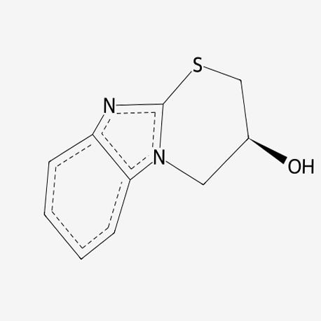 O[C@@H]1CSc2nc3ccccc3n2C1